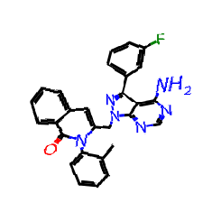 Cc1ccccc1-n1c(Cn2nc(-c3cccc(F)c3)c3c(N)ncnc32)cc2ccccc2c1=O